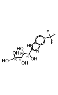 OC[C@@H](O)[C@@H](O)[C@H](O)[C@H](O)c1nc2cc(C(F)(F)F)ccc2[nH]1